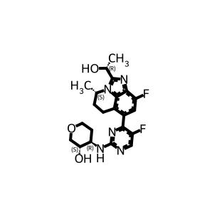 C[C@@H](O)c1nc2c(F)cc(-c3nc(N[C@@H]4CCOC[C@H]4O)ncc3F)c3c2n1[C@@H](C)CC3